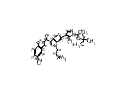 CC(C)(C)OC(=O)n1ncc(-c2cc3c(cn2)c(C(=O)C2COc4ccc(Cl)cc4C2)cn3CCN)c1Cl